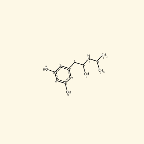 CC(C)NC(O)Cc1cc(O)cc(O)c1